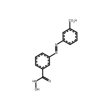 O=C(O)c1cccc(/N=N/c2cccc(C(=O)NO)c2)c1